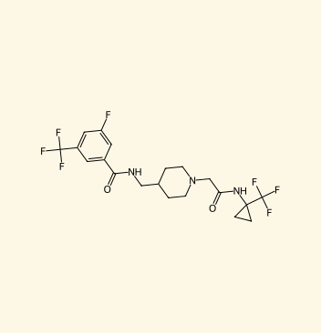 O=C(CN1CCC(CNC(=O)c2cc(F)cc(C(F)(F)F)c2)CC1)NC1(C(F)(F)F)CC1